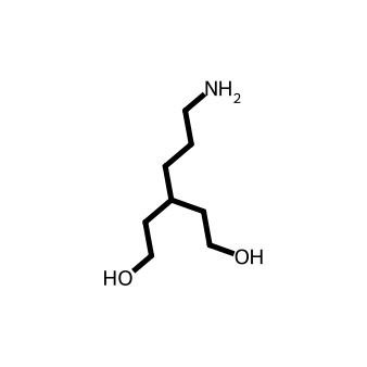 NCCCC(CCO)CCO